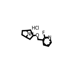 Cl.Fc1ncccc1COC1CC2CCC(C1)N2